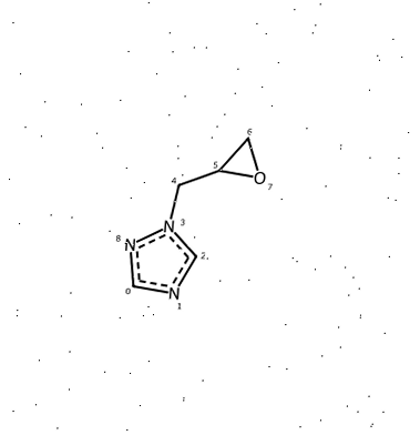 c1ncn(CC2CO2)n1